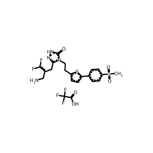 CS(=O)(=O)c1ccc(-c2ccc(CCn3c(CC(CN)=C(F)F)n[nH]c3=O)s2)cc1.O=C(O)C(F)(F)F